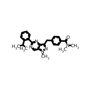 CC(C)c1ccccc1-c1ncc2c(n1)c(Cc1ccc(C(=O)N(C)C)cc1)nn2C